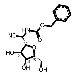 N#CC(NC(=O)OCc1ccccc1)[C@@H]1O[C@H](CO)[C@@H](O)[C@H]1O